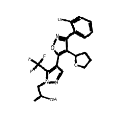 CC(O)Cn1ncc(-c2onc(-c3ccccc3Cl)c2C2CCCO2)c1C(F)(F)F